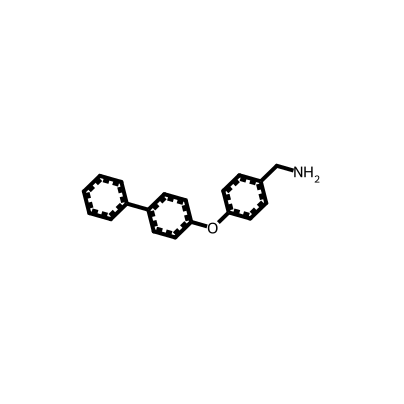 NCc1ccc(Oc2ccc(-c3ccccc3)cc2)cc1